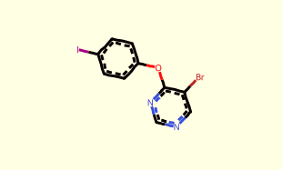 Brc1cncnc1Oc1ccc(I)cc1